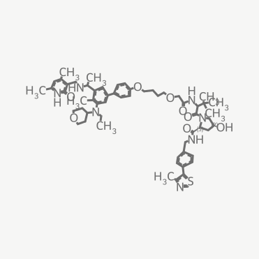 CCN(c1cc(-c2ccc(OCCCCOCC(=O)NC(C(=O)N3C[C@H](O)C[C@H]3C(=O)NCc3ccc(-c4scnc4C)cc3)C(C)(C)C)cc2)cc(C(C)NCc2c(C)cc(C)[nH]c2=O)c1C)C1CCOCC1